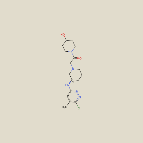 Cc1cc(N[C@@H]2CCCN(CC(=O)N3CCC(O)CC3)C2)nnc1Cl